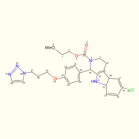 COCCOC(=O)N1CCC2=C(NC3C=CC(Cl)=CC23)C1c1ccc(OCCCn2ccnn2)cc1